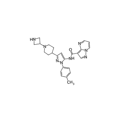 Cc1ccc(-n2nc(C3CCN(C4CNC4)CC3)cc2NC(=O)c2cnn3cccnc23)cc1